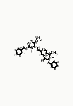 C=CCC(C)N[C@@H](Cc1ccccc1)C(=O)NCCCC[C@H](NC(=O)OCc1ccccc1)C(=O)ON